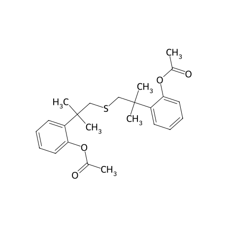 CC(=O)Oc1ccccc1C(C)(C)CSCC(C)(C)c1ccccc1OC(C)=O